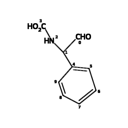 O=CC(NC(=O)O)c1ccccc1